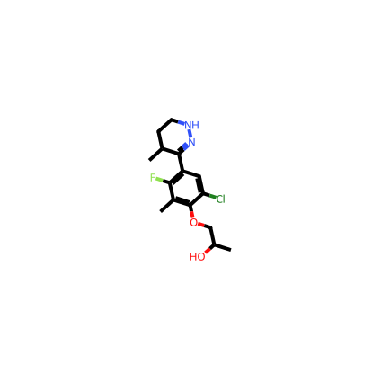 Cc1c(F)c(C2=NNCCC2C)cc(Cl)c1OCC(C)O